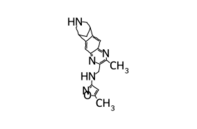 Cc1cc(NCc2nc3cc4c(cc3nc2C)C2CNCC4C2)no1